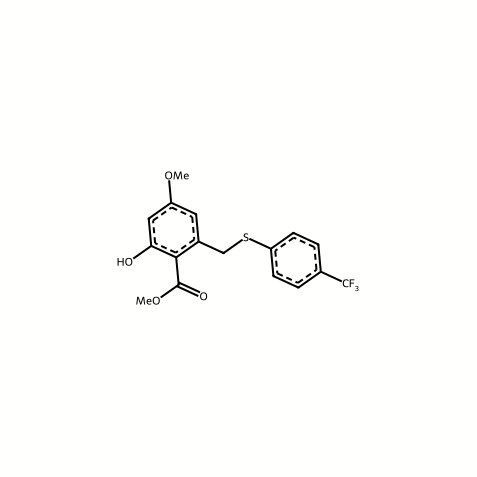 COC(=O)c1c(O)cc(OC)cc1CSc1ccc(C(F)(F)F)cc1